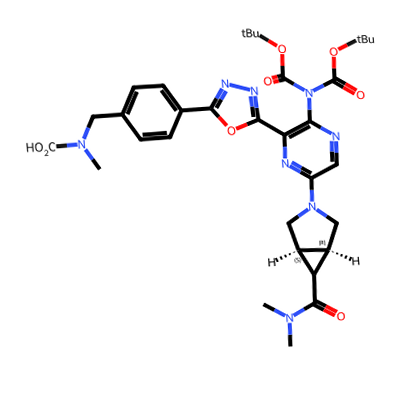 CN(C)C(=O)C1[C@H]2CN(c3cnc(N(C(=O)OC(C)(C)C)C(=O)OC(C)(C)C)c(-c4nnc(-c5ccc(CN(C)C(=O)O)cc5)o4)n3)C[C@@H]12